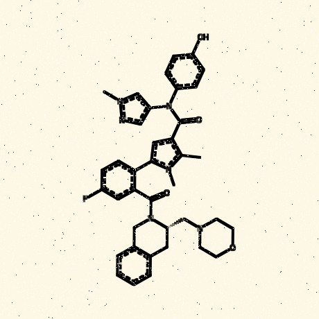 Cc1c(C(=O)N(c2ccc(O)cc2)c2cnn(C)c2)cc(-c2ccc(F)cc2C(=O)N2Cc3ccccc3C[C@H]2CN2CCOCC2)n1C